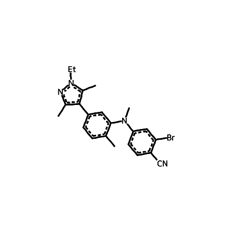 CCn1nc(C)c(-c2ccc(C)c(N(C)c3ccc(C#N)c(Br)c3)c2)c1C